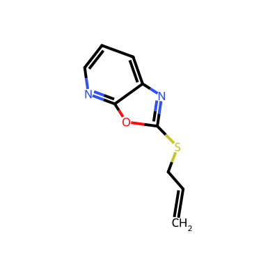 C=CCSc1nc2cccnc2o1